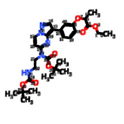 CCOC(=O)C(C)Oc1cccc(-c2cnn3ccc(N(CCNC(=O)OC(C)(C)C)C(=O)OC(C)(C)C)nc23)c1